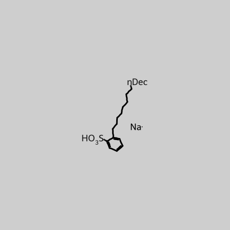 CCCCCCCCCCCCCCCCCCc1ccccc1S(=O)(=O)O.[Na]